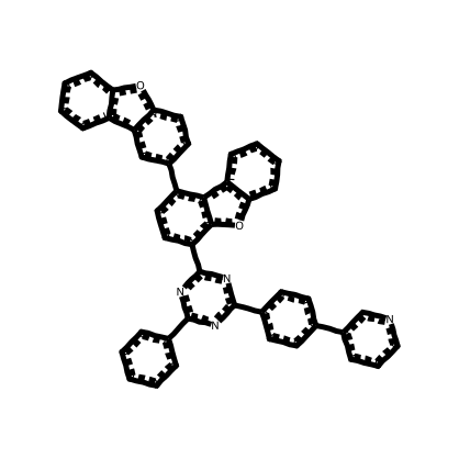 c1ccc(-c2nc(-c3ccc(-c4cccnc4)cc3)nc(-c3ccc(-c4ccc5oc6ccccc6c5c4)c4c3oc3ccccc34)n2)cc1